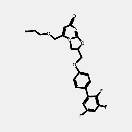 O=c1cc(COCCF)n2c(n1)OC(COc1ccc(-c3cc(F)cc(F)c3F)cc1)C2